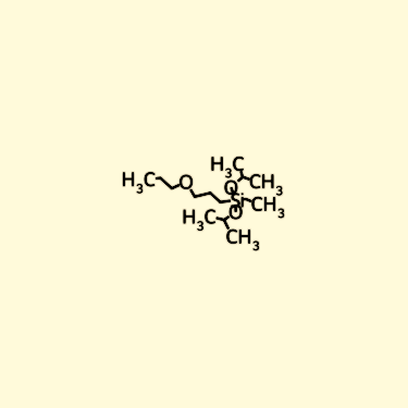 CCCOCCC[Si](CC)(OC(C)C)OC(C)C